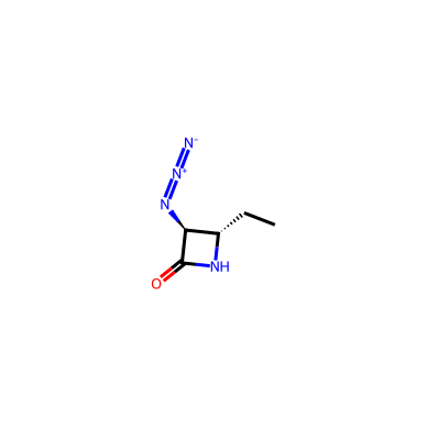 CC[C@@H]1NC(=O)[C@H]1N=[N+]=[N-]